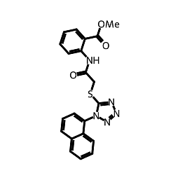 COC(=O)c1ccccc1NC(=O)CSc1nnnn1-c1cccc2ccccc12